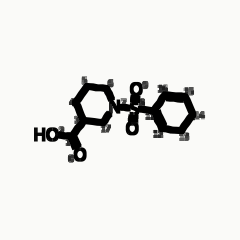 O=C(O)C1CCCN(S(=O)(=O)C2=CC[CH]C=C2)C1